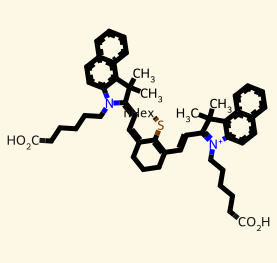 CCCCCCSC1=C(/C=C/C2=[N+](CCCCCC(=O)O)c3ccc4ccccc4c3C2(C)C)CCC/C1=C/C=C1\N(CCCCCC(=O)O)c2ccc3ccccc3c2C1(C)C